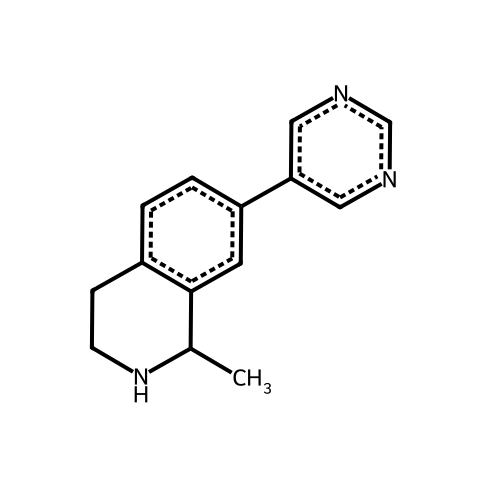 CC1NCCc2ccc(-c3cncnc3)cc21